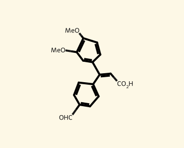 COc1ccc(/C(=C/C(=O)O)c2ccc(C=O)cc2)cc1OC